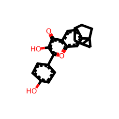 O=c1c(O)c(-c2ccc(O)cc2)oc2cc(C34CCCC5C3C54)ccc12